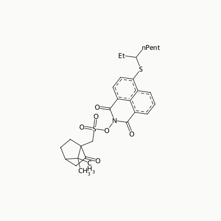 CCCCCC(CC)Sc1ccc2c3c(cccc13)C(=O)N(OS(=O)(=O)CC13CCC(CC1=O)C3(C)C)C2=O